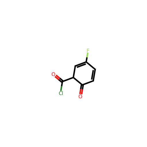 O=C(Cl)C1C=C(F)C=CC1=O